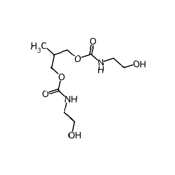 CC(COC(=O)NCCO)COC(=O)NCCO